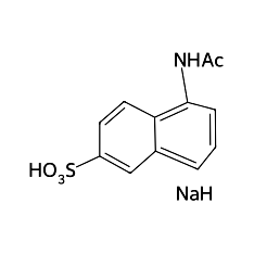 CC(=O)Nc1cccc2cc(S(=O)(=O)O)ccc12.[NaH]